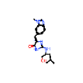 CC(C)CC(CO)NC1=N/C(=C\c2ccc3ncn(C)c3c2)C(=O)N1